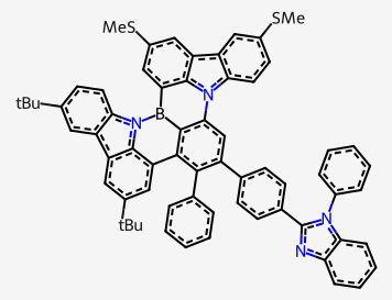 CSc1ccc2c(c1)c1cc(SC)cc3c1n2-c1cc(-c2ccc(-c4nc5ccccc5n4-c4ccccc4)cc2)c(-c2ccccc2)c2c1B3n1c3ccc(C(C)(C)C)cc3c3cc(C(C)(C)C)cc-2c31